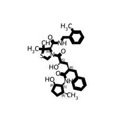 Cc1ccccc1CNC(=O)[C@H]1N(C(=O)[C@@H](O)C[C@@H](Cc2ccccc2)C(=O)N[C@H]2[C@H](C)CC[C@H]2O)CSC1(C)C